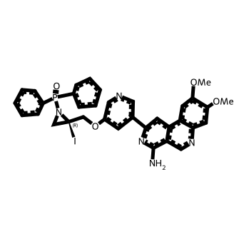 COc1cc2ncc3c(N)nc(-c4cncc(OC[C@]5(I)CN5P(=O)(c5ccccc5)c5ccccc5)c4)cc3c2cc1OC